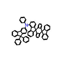 c1ccc(N(c2ccc3c(c2)-c2ccccc2C3(c2ccccc2)c2ccccc2)c2cccc3c2-c2ccccc2C32c3ccccc3C3(c4ccccc4-c4ccccc43)c3ccccc32)cc1